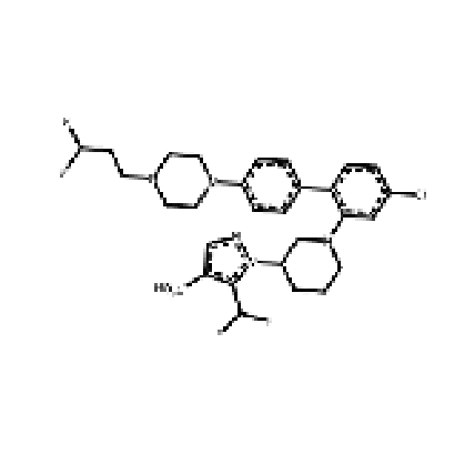 O=C(O)c1cnn(C2CCCN(c3cc(Cl)ccc3-c3ccc(N4CCN(CCC(F)F)CC4)cc3)C2)c1C(F)F